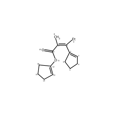 CCC(C1=CCCC1)=C(C)C(=O)OC1=CCCC1